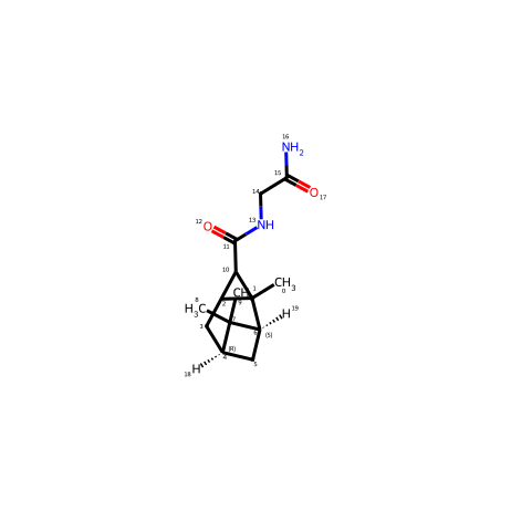 CC12C(C[C@@H]3C[C@H]1C3(C)C)C2C(=O)NCC(N)=O